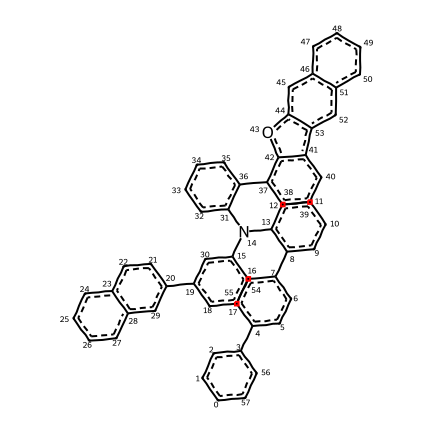 c1ccc(-c2ccc(-c3ccccc3N(c3cccc(-c4ccc5ccccc5c4)c3)c3ccccc3-c3cccc4c3oc3cc5ccccc5cc34)cc2)cc1